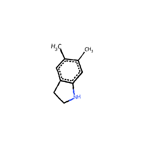 Cc1cc2c(cc1C)NCC2